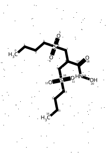 CCCCS(=O)(=O)CC(CS(=O)(=O)CCCC)C(=O)NO